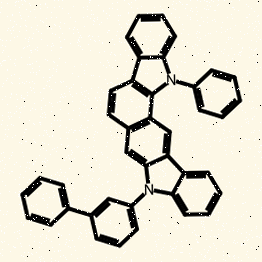 c1ccc(-c2cccc(-n3c4ccccc4c4cc5c(ccc6c7ccccc7n(-c7ccccc7)c56)cc43)c2)cc1